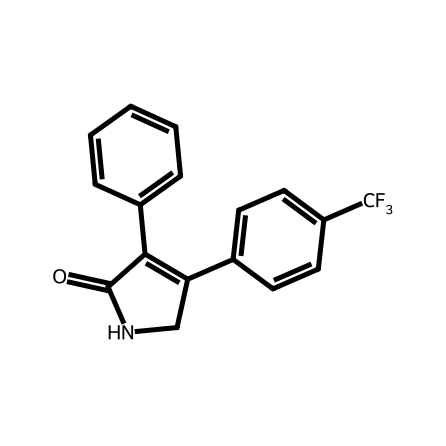 O=C1NCC(c2ccc(C(F)(F)F)cc2)=C1c1ccccc1